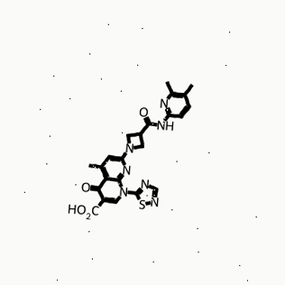 Cc1ccc(NC(=O)C2CN(c3cc(C)c4c(=O)c(C(=O)O)cn(-c5ncns5)c4n3)C2)nc1C